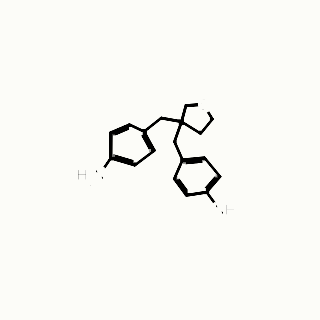 Nc1ccc(CC2(Cc3ccc(N)cc3)CCSC2)cc1